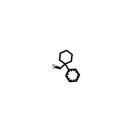 S=CC1(c2ccccc2)CCCCC1